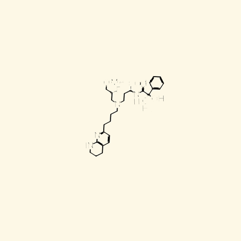 COC[C@@H](F)CN(CCCCc1ccc2c(n1)NCCC2)CC[C@H](NC(=O)[C@](C)(O)c1ccccc1)C(=O)O